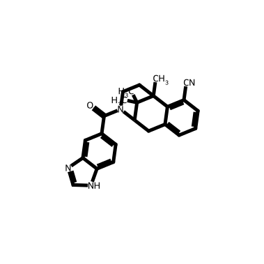 CC12CCN(C(=O)c3ccc4[nH]cnc4c3)C(Cc3cccc(C#N)c31)C2(C)C